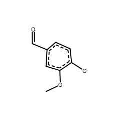 COc1cc(C=O)ccc1[O]